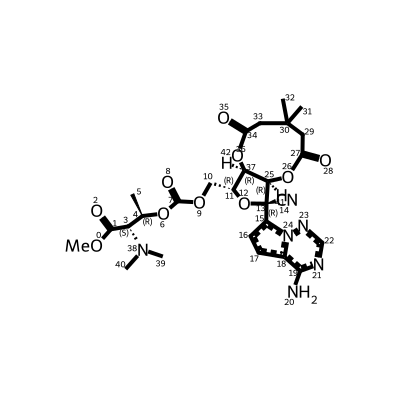 COC(=O)[C@H]([C@@H](C)OC(=O)OC[C@H]1O[C@@](C#N)(c2ccc3c(N)ncnn23)[C@@H]2OC(=O)CC(C)(C)CC(=O)O[C@@H]21)N(C)C